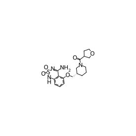 NC1=NS(=O)(=O)Nc2cccc(OC[C@H]3CCCN(C(=O)C4CCOC4)C3)c21